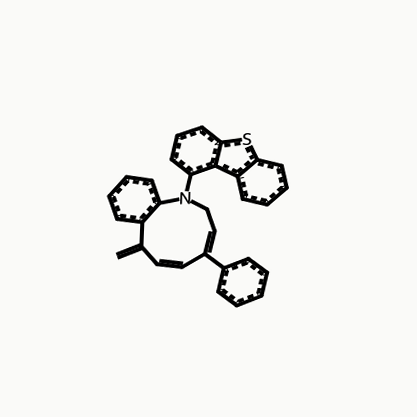 C=C1/C=C\C(c2ccccc2)=C/CN(c2cccc3sc4ccccc4c23)c2ccccc21